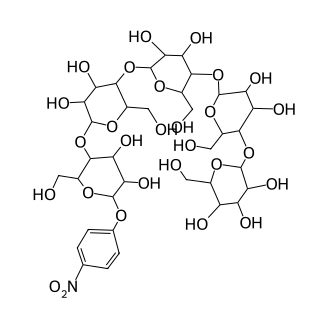 O=[N+]([O-])c1ccc(OC2OC(CO)C(OC3OC(CO)C(OC4OC(CO)C(OC5OC(CO)C(OC6OC(CO)C(O)C(O)C6O)C(O)C5O)C(O)C4O)C(O)C3O)C(O)C2O)cc1